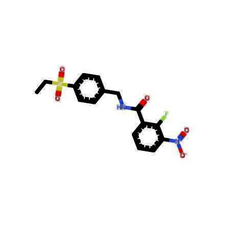 CCS(=O)(=O)c1ccc(CNC(=O)c2cccc([N+](=O)[O-])c2F)cc1